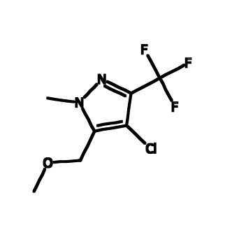 COCc1c(Cl)c(C(F)(F)F)nn1C